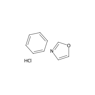 Cl.c1ccccc1.c1cocn1